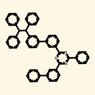 c1ccc(-c2cccc(-c3nc(-c4ccccc4)nc(-c4cccc(-c5cccc(C(c6ccccc6)C(c6ccccc6)c6ccccc6)c5)c4)n3)c2)cc1